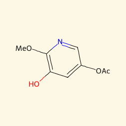 COc1ncc(OC(C)=O)cc1O